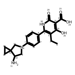 CCc1c(-c2ccc(N3CC(N)C4(CC4)C3)cc2)[nH]c(=O)c(C(=O)O)c1O